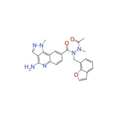 CC(=O)N(C)N(Cc1cccc2ccoc12)C(=O)c1ccc2nc(N)c3cnn(C)c3c2c1